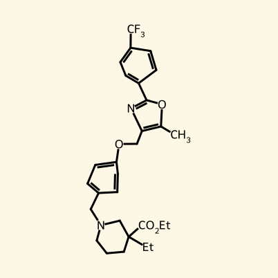 CCOC(=O)C1(CC)CCCN(Cc2ccc(OCc3nc(-c4ccc(C(F)(F)F)cc4)oc3C)cc2)C1